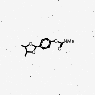 CNC(=O)Oc1ccc(C2OC(C)C(C)O2)cc1